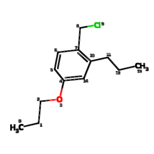 CCCOc1ccc(CCl)c(CCC)c1